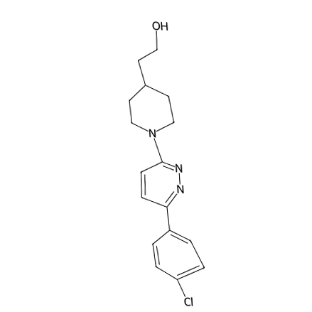 OCCC1CCN(c2ccc(-c3ccc(Cl)cc3)nn2)CC1